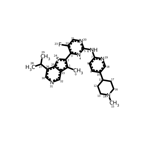 Cc1c(-c2nc(Nc3ccc(C4CCN(C)CC4)cn3)ncc2F)sc2c(C(C)C)cncc12